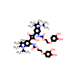 CC(C)N1c2cc(NC(=O)OCCOc3ccc(O)c(O)c3)c(C3=C(O)/C(=c4/cc5c(cc4NC(=O)OCCOc4ccc(O)c(O)c4)=[N+](C(C)C)C(C)C5(C)C)C3=O)cc2C(C)(C)C1C